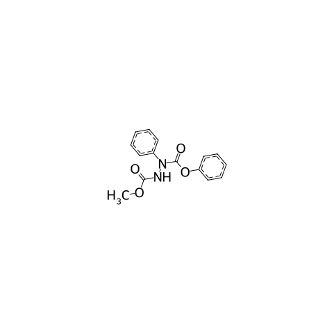 COC(=O)NN(C(=O)Oc1ccccc1)c1ccccc1